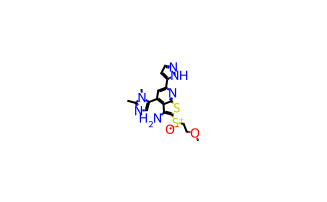 COCC[S+]([O-])c1sc2nc(-c3ccn[nH]3)cc(-c3cnc(C)n3C)c2c1N